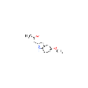 COc1ccc2[nH]c(CC(C)=O)cc2c1